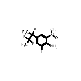 Nc1c(I)cc(C(F)(C(F)(F)F)C(F)(F)C(F)(F)F)cc1[S+]([O-])C(F)(F)F